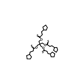 S=C(CCC1CCCC1)OCC(COC(=S)CCC1CCCC1)(COC(=S)CCC1CCCC1)COC(=S)CCC1CCCC1